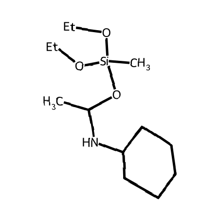 CCO[Si](C)(OCC)OC(C)NC1CCCCC1